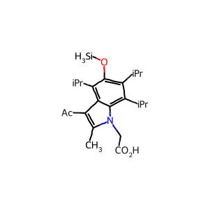 CC(=O)c1c(C)n(CC(=O)O)c2c(C(C)C)c(C(C)C)c(O[SiH3])c(C(C)C)c12